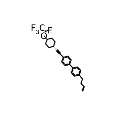 C=CCCc1ccc(-c2ccc(C#C[C@H]3CC[C@H](OC(F)C(F)(F)F)CC3)cc2)cc1